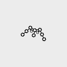 c1ccc(-c2ccc(-c3cccc4c3oc3c(-c5ccccc5)c5oc6c(-c7ccc(-c8ccccc8)cc7)cccc6c5cc34)cc2)cc1